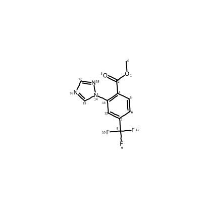 COC(=O)c1ccc(C(F)(F)F)cc1-n1cncn1